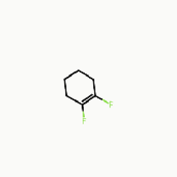 FC1=C(F)CCCC1